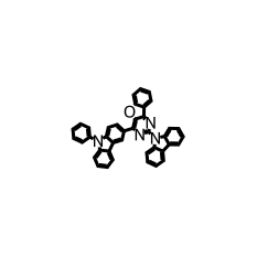 c1ccc(-n2c3ccccc3c3cc(-c4nc(-n5c6ccccc6c6ccccc65)nc5c4oc4ccccc45)ccc32)cc1